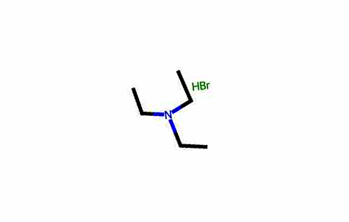 Br.CCN(CC)CC